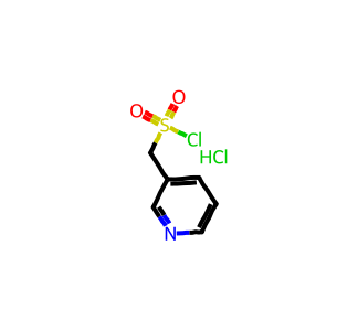 Cl.O=S(=O)(Cl)Cc1cccnc1